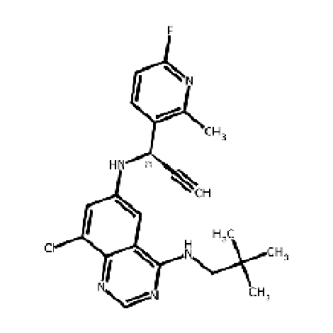 C#C[C@@H](Nc1cc(Cl)c2ncnc(NCC(C)(C)C)c2c1)c1ccc(F)nc1C